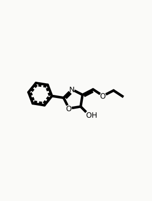 CCOC=C1N=C(c2ccccc2)OC1O